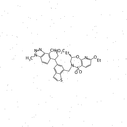 CCOc1ccc2c(n1)O[C@H](CC)CN(Cc1cc(C(CC(=O)O)c3ccc4c(nnn4C)c3C)cc3ccsc13)S2(=O)=O